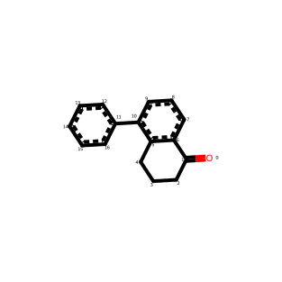 O=C1CCCc2c1cccc2-c1ccccc1